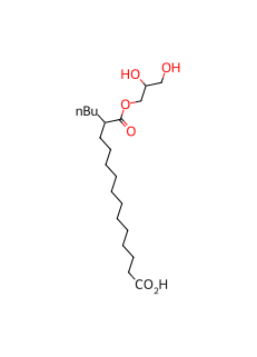 CCCCC(CCCCCCCCCCCC(=O)O)C(=O)OCC(O)CO